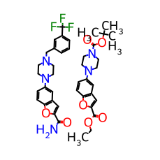 CCOC(=O)c1cc2cc(N3CCN(C(=O)OC(C)(C)C)CC3)ccc2o1.NC(=O)c1cc2cc(N3CCN(Cc4cccc(C(F)(F)F)c4)CC3)ccc2o1